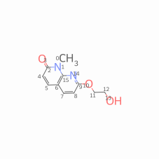 Cn1c(=O)ccc2ccc(OCCO)nc21